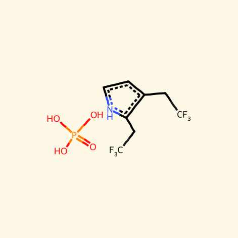 FC(F)(F)Cc1cc[nH]c1CC(F)(F)F.O=P(O)(O)O